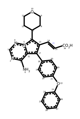 Nc1ncnn2c(C3CCOCC3)c(/C=C/C(=O)O)c(-c3ccc(Oc4ccccc4)cc3)c12